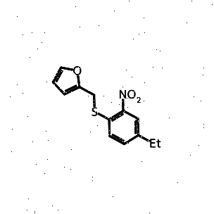 CCc1ccc(SCc2ccco2)c([N+](=O)[O-])c1